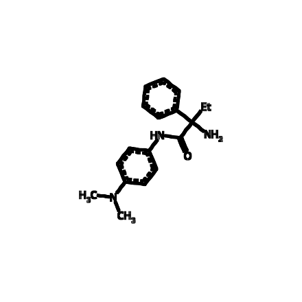 CCC(N)(C(=O)Nc1ccc(N(C)C)cc1)c1ccccc1